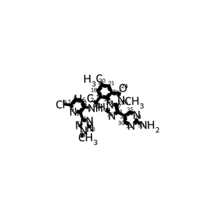 [2H]C(C)(Nc1ccc(Cl)nc1-c1nnn(C)n1)c1cc(C)cc2c(=O)n(C)c3c(-c4cnc(N)nc4)ncn3c12